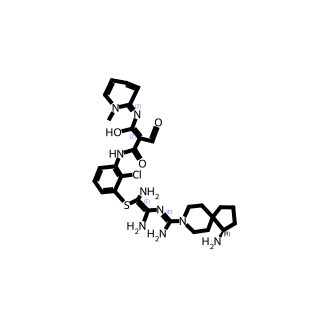 Cn1cccc/c1=N/C(O)=C(\C=O)C(=O)Nc1cccc(S/C(N)=C(N)/N=C(\N)N2CCC3(CCC[C@H]3N)CC2)c1Cl